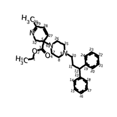 CCOC(=O)C1(N2CCN(CCC(c3ccccc3)c3ccccc3)CC2)C=CC(C)=NC1